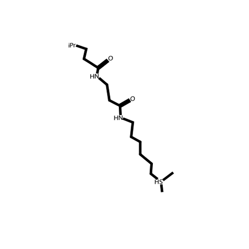 CC(C)CCC(=O)NCCC(=O)NCCCCCC[SH](C)C